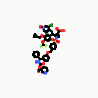 O=C(N[C@@H](c1ccccc1)c1cccc(OCc2ccc(S(=O)(=O)N3CC(C(=O)O)C3[C@@H](Cc3c(Cl)c[n+]([O-])cc3Cl)c3ccc(OC(F)F)c(OCC4CC4)c3)cc2)c1)O[C@H]1CN2CCC1CC2